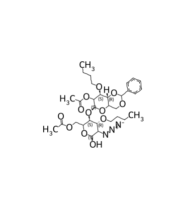 CCCCO[C@@H]1C(OC(C)=O)[C@H](O[C@@H]2C(COC(C)=O)O[C@H](O)C(N=[N+]=[N-])[C@H]2OCCCC)OC2COC(c3ccccc3)O[C@H]21